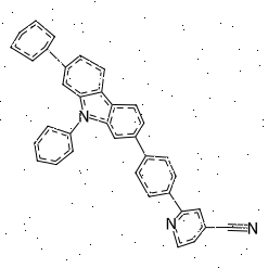 N#Cc1ccnc(-c2ccc(-c3ccc4c5ccc(-c6ccccc6)cc5n(-c5ccccc5)c4c3)cc2)c1